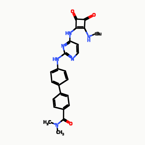 CN(C)C(=O)c1ccc(-c2ccc(Nc3nccc(Nc4c(NC(C)(C)C)c(=O)c4=O)n3)cc2)cc1